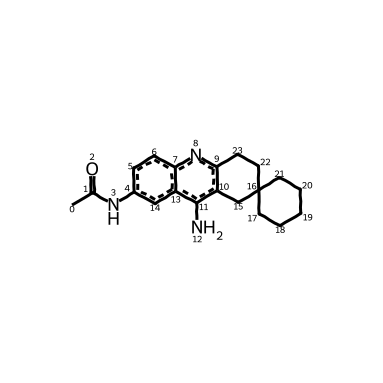 CC(=O)Nc1ccc2nc3c(c(N)c2c1)CC1(CCCCC1)CC3